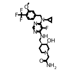 COc1cc(CN(c2ncnc(NC[C@@H]3CCN(CC(N)=O)C[C@H]3O)c2F)C2CC2)ccc1C(F)(F)F